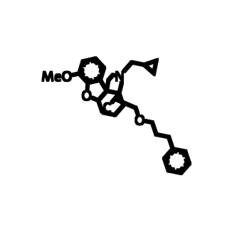 COc1cccc2c1OC1C3CCC4(CN(CC5CC5)CCC214)C(COCCCc1ccccc1)C3